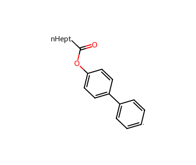 CCCCCCCC(=O)Oc1ccc(-c2cc[c]cc2)cc1